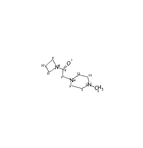 CN1CCN(CC(=O)N2C[CH]C2)CC1